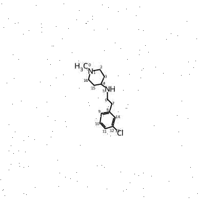 CN1CCC(NCCc2cccc(Cl)c2)CC1